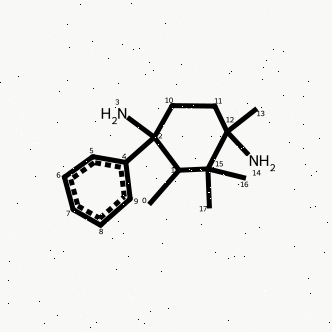 CC1C(N)(c2ccccc2)CCC(C)(N)C1(C)C